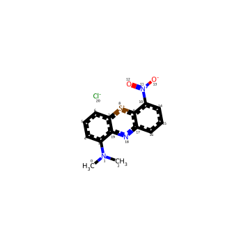 CN(C)c1cccc2[s+]c3c([N+](=O)[O-])cccc3nc12.[Cl-]